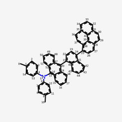 Cc1ccc(N(c2ccc(C)cc2)c2c3ccccc3c(-c3ccc(-c4ccc5ccc6cccc7ccc4c5c67)c4ccccc34)c3ccccc23)cc1